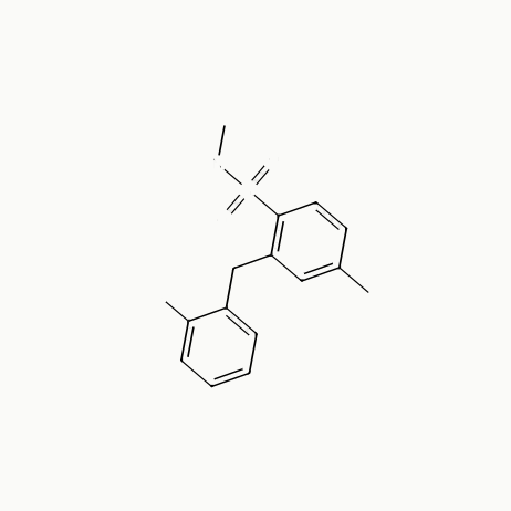 CNS(=O)(=O)c1ccc(C)cc1Cc1ccccc1O